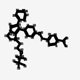 CC(C)c1ccc(COc2ccc(-c3c(-c4ccncc4)nn4c3N(CCO[Si](C)(C)C(C)(C)C)CC4)cc2)cc1